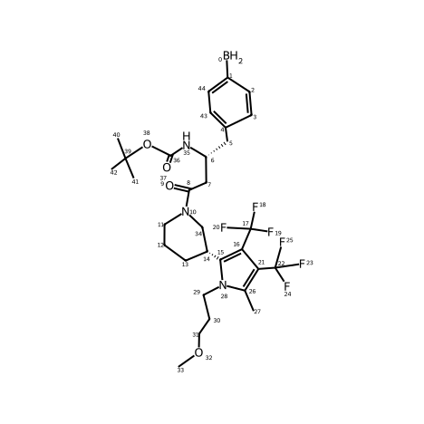 Bc1ccc(C[C@H](CC(=O)N2CCC[C@@H](c3c(C(F)(F)F)c(C(F)(F)F)c(C)n3CCCOC)C2)NC(=O)OC(C)(C)C)cc1